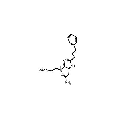 CNCCNC(=O)C(CC(N)=O)NC(=O)CCCc1ccccc1